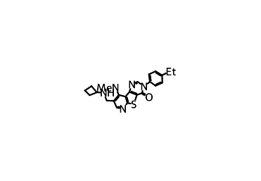 CCc1ccc(-n2cnc3c(sc4ncc(CNC5CCC5)c(NC)c43)c2=O)cc1